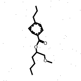 CCCCC(COC)OC(=O)c1ccc(CCC)cc1